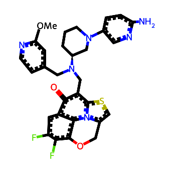 COc1cc(CN(Cc2c(=O)c3cc(F)c(F)c4c3n3c(csc23)CO4)[C@H]2CCCN(c3ccc(N)nc3)C2)ccn1